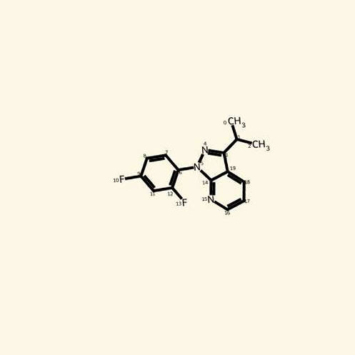 CC(C)c1nn(-c2ccc(F)cc2F)c2ncccc12